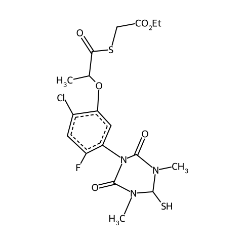 CCOC(=O)CSC(=O)C(C)Oc1cc(N2C(=O)N(C)C(S)N(C)C2=O)c(F)cc1Cl